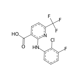 O=C(O)c1ccc(C(F)(F)F)nc1Nc1cccc(F)c1Cl